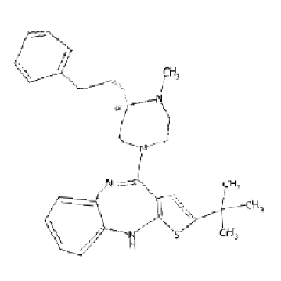 CN1CCN(C2=Nc3ccccc3Nc3sc(C(C)(C)C)cc32)C[C@@H]1CCc1ccccc1